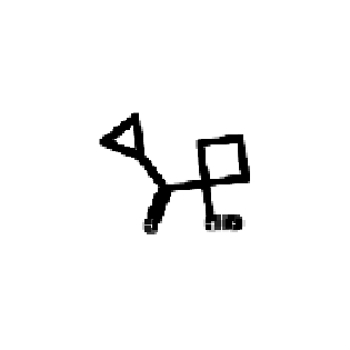 O=[C]C1(C(=O)C2CC2)CCC1